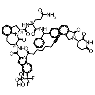 NC(=O)CC[C@H](NC(=O)[C@@H]1Cc2cccc3c2N1C(=O)[C@@H](NC(=O)c1cc2cc(C(F)(F)P(=O)(O)O)ccc2n1C(=O)CCCCCC#Cc1cccc2c1CN(C1CCC(=O)NC1=O)C2=O)CC3)C(=O)NC(c1ccccc1)c1ccccc1